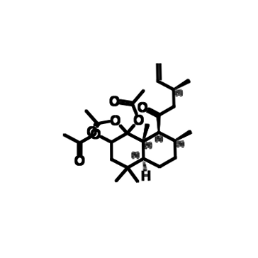 C=C[C@@H](C)CC(=O)[C@H]1[C@@H](C)CC[C@H]2C(C)(C)CC(OC(C)=O)C(OC(C)=O)(OC(C)=O)[C@]12C